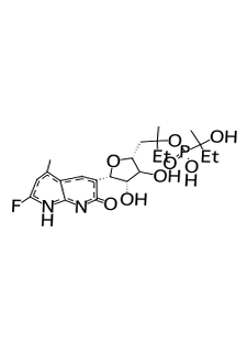 CCC(C)(C[C@H]1O[C@@H](c2cc3c(C)cc(F)[nH]c-3nc2=O)[C@@H](O)C1O)OP(=O)(O)C(C)(O)CC